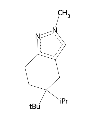 CC(C)C1(C(C)(C)C)CCc2nn(C)cc2C1